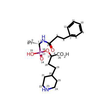 CC(C)[C@H](NC(=O)CCc1ccccc1)P(=O)(O)OC(CCC1CCNCC1)C(=O)O